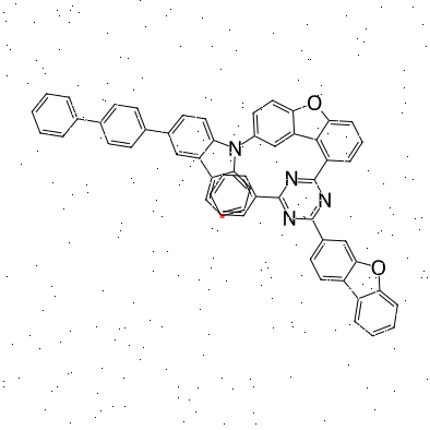 c1ccc(-c2ccc(-c3ccc4c(c3)c3ccccc3n4-c3ccc4oc5cccc(-c6nc(-c7ccccc7)nc(-c7ccc8c(c7)oc7ccccc78)n6)c5c4c3)cc2)cc1